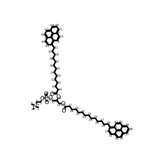 C[N+](C)(C)CCOP(=O)([O-])OCC(COC(=O)CCCCCCCCCCCCCc1ccc2ccc3cccc4ccc1c2c34)OC(=O)CCCCCCCCCCCCCc1ccc2ccc3cccc4ccc1c2c34